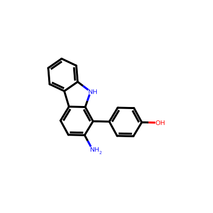 Nc1ccc2c([nH]c3ccccc32)c1-c1ccc(O)cc1